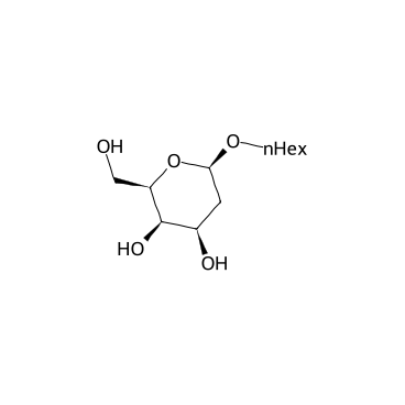 CCCCCCO[C@H]1C[C@@H](O)[C@@H](O)[C@@H](CO)O1